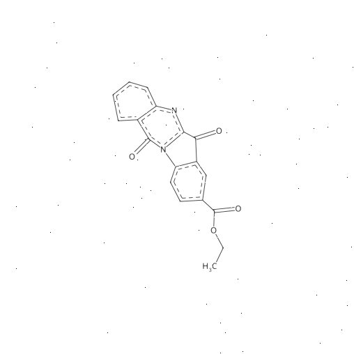 CCOC(=O)c1ccc2c(c1)C(=O)c1nc3ccccc3c(=O)n1-2